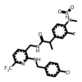 CC(C(=O)NCc1ccc(C(F)(F)F)nc1NCc1ccc(Cl)cc1)c1ccc(N(C)[SH](=O)=O)c(F)c1